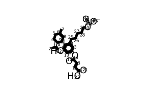 C=C(C)[C@H]1CCC(C)=C[C@@H]1c1c(O)cc(OC(=O)C=CC(=O)O)cc1CCCCCO[N+](=O)[O-]